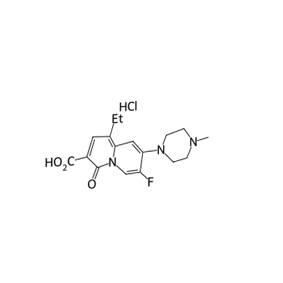 CCc1cc(C(=O)O)c(=O)n2cc(F)c(N3CCN(C)CC3)cc12.Cl